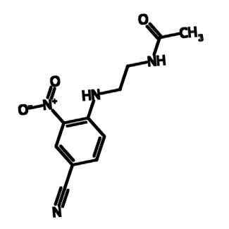 CC(=O)NCCNc1ccc(C#N)cc1[N+](=O)[O-]